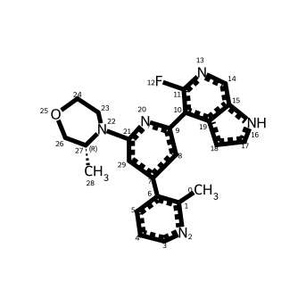 Cc1ncccc1-c1cc(-c2c(F)ncc3[nH]ccc23)nc(N2CCOC[C@H]2C)c1